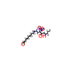 CC/C=C\CC(O)C(C/C=C\CCCCCCC[C]=O)[N+](=O)[O-]